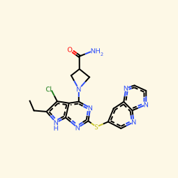 CCc1[nH]c2nc(Sc3cnc4nccnc4c3)nc(N3CC(C(N)=O)C3)c2c1Cl